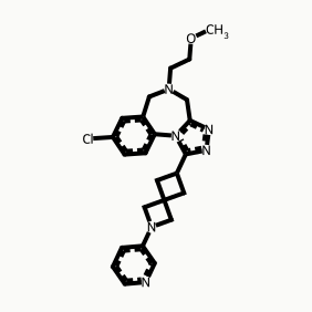 COCCN1Cc2cc(Cl)ccc2-n2c(nnc2C2CC3(C2)CN(c2cccnc2)C3)C1